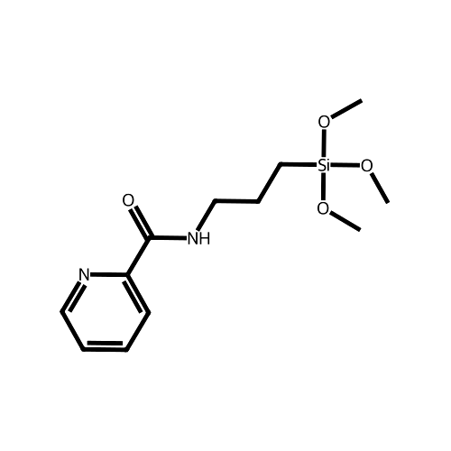 CO[Si](CCCNC(=O)c1ccccn1)(OC)OC